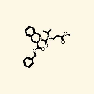 COC(=O)CCN(C(=O)N1Cc2ccccc2CC1C(=O)OCc1ccccc1)C(C)C